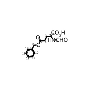 O=CN[C@@H](CCC(=O)OCc1ccccc1)C(=O)O